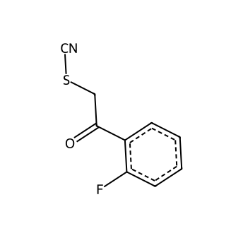 N#CSCC(=O)c1ccccc1F